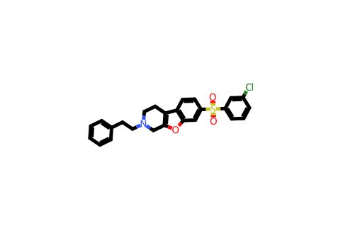 O=S(=O)(c1cccc(Cl)c1)c1ccc2c3c(oc2c1)CN(CCc1ccccc1)CC3